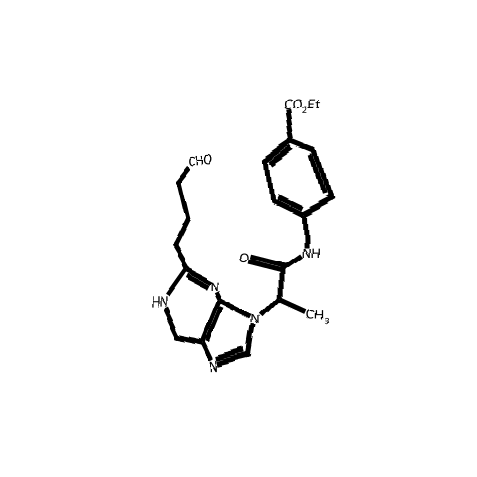 CCOC(=O)c1ccc(NC(=O)C(C)n2cnc3c2N=C(CCCC=O)NC3)cc1